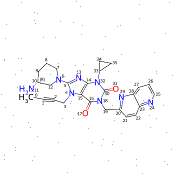 CC#CCn1c(N2CCC[C@@H](N)C2)nc2c1c(=O)n(Cc1ccc3ncccc3n1)c(=O)n2C1CC1